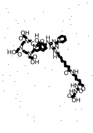 O=CC(CCCCNC(=O)CCCCCCCNc1nc(Nc2ccc(CC3CN(CC(=O)O)CCN(CC(=O)O)CCN(CC(=O)O)CCN3CC(=O)O)cc2)nc(N2CCCCC2)n1)NC(=O)NCC(=O)O